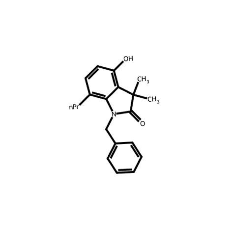 CCCc1ccc(O)c2c1N(Cc1ccccc1)C(=O)C2(C)C